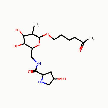 CC(=O)CCCCOC1OC(CNC(=O)C2CC(O)CN2)C(O)C(O)C1C